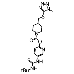 Cn1nnnc1SCC1CCN(C(=O)Oc2ccc(NC(=S)NC(C)(C)C)cn2)CC1